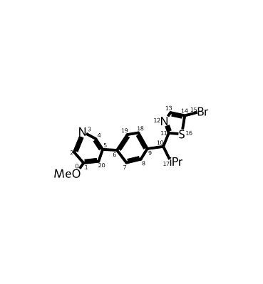 COc1cncc(-c2ccc(C(c3ncc(Br)s3)C(C)C)cc2)c1